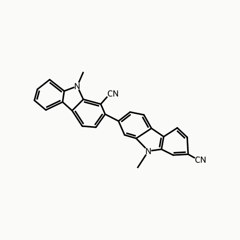 Cn1c2cc(C#N)ccc2c2ccc(-c3ccc4c5ccccc5n(C)c4c3C#N)cc21